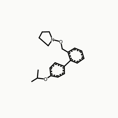 CC(C)Oc1ccc(-c2ccccc2CON2CCCC2)cc1